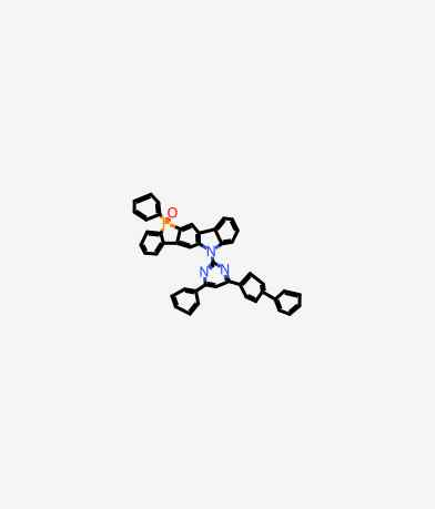 O=P1(c2ccccc2)c2ccccc2-c2cc3c(cc21)c1ccccc1n3-c1nc(-c2ccccc2)cc(-c2ccc(-c3ccccc3)cc2)n1